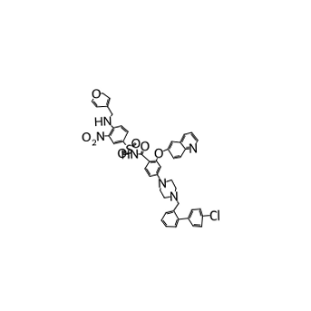 O=C(NS(=O)(=O)c1ccc(NCC2=CCOC=C2)c([N+](=O)[O-])c1)c1ccc(N2CCN(Cc3ccccc3-c3ccc(Cl)cc3)CC2)cc1Oc1ccc2ncccc2c1